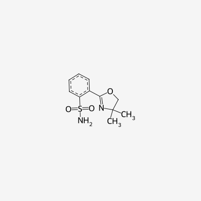 CC1(C)COC(c2ccccc2S(N)(=O)=O)=N1